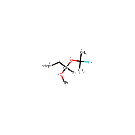 CCCCCCCC[Si](CC)(OC(C)C)OC(C)(C)F